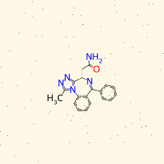 Cc1nnc2n1-c1ccccc1C(c1ccccc1)=N[C@H]2CC(N)=O